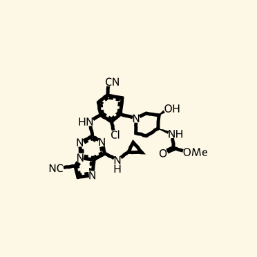 COC(=O)N[C@H]1CCN(c2cc(C#N)cc(Nc3nc(NC4CC4)c4ncc(C#N)n4n3)c2Cl)C[C@H]1O